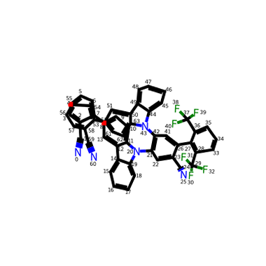 N#Cc1ccccc1-c1ccc2c(c1)c1ccccc1n2-c1cc(C#N)c(-c2c(C(F)(F)F)cccc2C(F)(F)F)cc1-n1c2ccccc2c2cc(-c3ccccc3C#N)ccc21